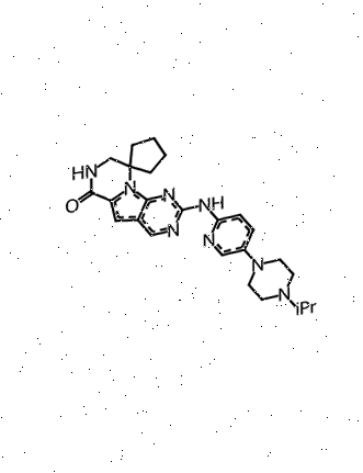 CC(C)N1CCN(c2ccc(Nc3ncc4cc5n(c4n3)C3(CCCC3)CNC5=O)nc2)CC1